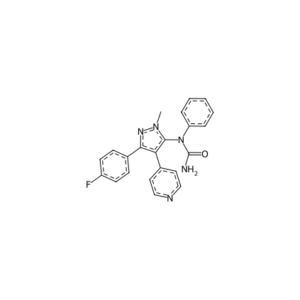 Cn1nc(-c2ccc(F)cc2)c(-c2ccncc2)c1N(C(N)=O)c1ccccc1